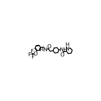 O=C(CC1CCC(NC(=O)C2CCCCN2)CC1)NCc1cccc(OC(F)(F)F)c1